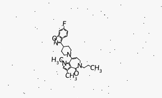 CCCN1CC=C(N2CCC(c3noc4cc(F)ccc34)CC2)c2c(c(C)cn2C)C1=O